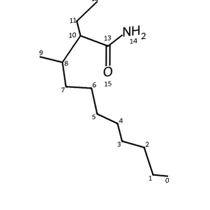 CCCCCCCCC(C)C(CC)C(N)=O